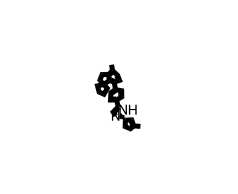 CC1=C[C@@H](c2ncc(-c3ccc(-c4ccc(C)c5c4C4(CCCC4)CC5)cc3)[nH]2)CC1